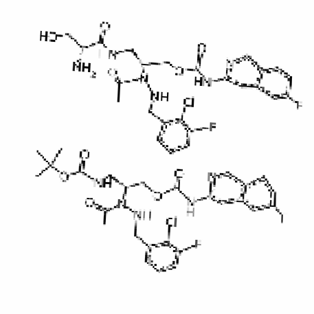 CC(=O)N(NCc1cccc(F)c1Cl)[C@@H](CNC(=O)OC(C)(C)C)COC(=O)Nc1cc2cc(F)ccc2cn1.CC(=O)N(NCc1cccc(F)c1Cl)[C@@H](CNC(=O)[C@H](N)CO)COC(=O)Nc1cc2cc(F)ccc2cn1